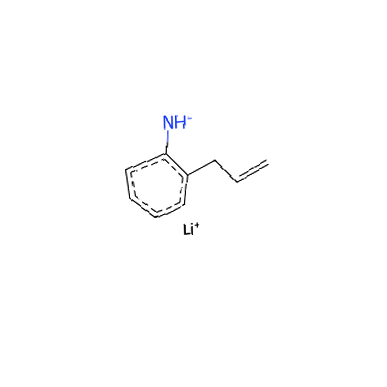 C=CCc1ccccc1[NH-].[Li+]